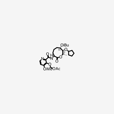 COc1ccnc(C(=O)N[C@H]2CCC[C@H](OCC(C)C)[C@@H](OC3CCCC3)[C@H](C)OC2=O)c1OCOC(C)=O